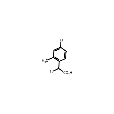 CCc1ccc(C(CC)C(=O)O)c(C)c1